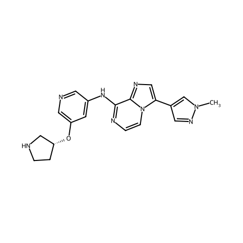 Cn1cc(-c2cnc3c(Nc4cncc(O[C@@H]5CCNC5)c4)nccn23)cn1